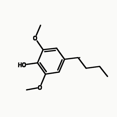 CCC[CH]c1cc(OC)c(O)c(OC)c1